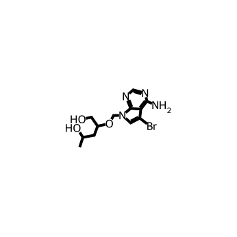 CC(O)CC(CO)OCn1cc(Br)c2c(N)ncnc21